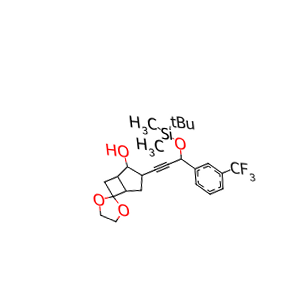 CC(C)(C)[Si](C)(C)OC(C#CC1CC2C(CC23OCCO3)C1O)c1cccc(C(F)(F)F)c1